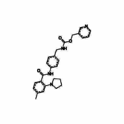 Cc1ccc(C(=O)Nc2ccc(CNC(=O)OCc3cccnc3)cc2)c(N2CCCC2)c1